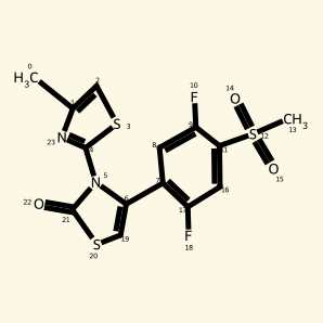 Cc1csc(-n2c(-c3cc(F)c(S(C)(=O)=O)cc3F)csc2=O)n1